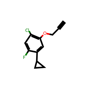 C#CCOc1cc(C2CC2)c(F)cc1Cl